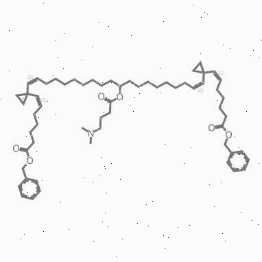 CN(C)CCCC(=O)OC(CCCCCCC/C=C\C1(/C=C\CCCCC(=O)OCc2ccccc2)CC1)CCCCCCCC/C=C\C1(/C=C\CCCCC(=O)OCc2ccccc2)CC1